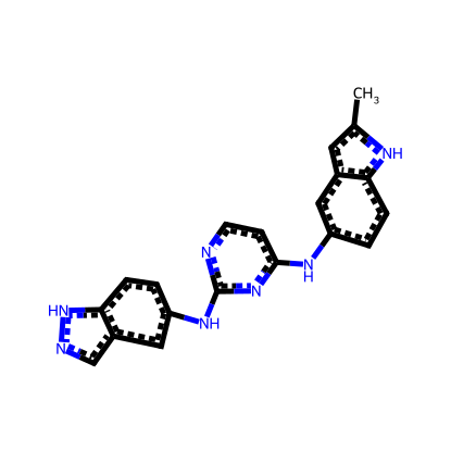 Cc1cc2cc(Nc3ccnc(Nc4ccc5[nH]ncc5c4)n3)ccc2[nH]1